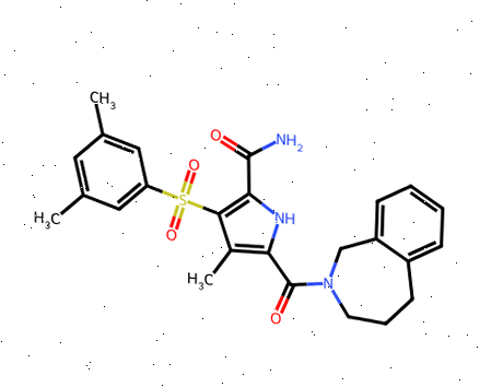 Cc1cc(C)cc(S(=O)(=O)c2c(C(N)=O)[nH]c(C(=O)N3CCCc4ccccc4C3)c2C)c1